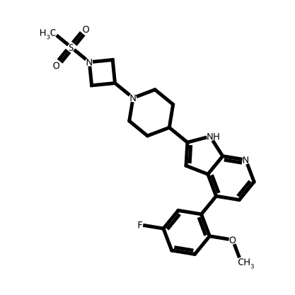 COc1ccc(F)cc1-c1ccnc2[nH]c(C3CCN(C4CN(S(C)(=O)=O)C4)CC3)cc12